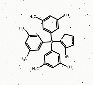 Cc1cc(C)cc([Si](C2=C(C(C)(C)C)C=CC2)(c2cc(C)cc(C)c2)c2cc(C)cc(C)c2)c1